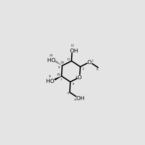 COC1OC(CO)[C@@H](O)[C@H](O)C1O